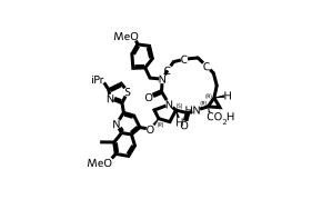 COc1ccc(CN2CCCCCCC[C@@H]3C[C@@]3(C(=O)O)NC(=O)[C@@H]3C[C@@H](Oc4cc(-c5nc(C(C)C)cs5)nc5c(C)c(OC)ccc45)CN3C2=O)cc1